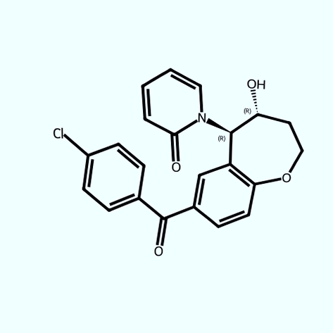 O=C(c1ccc(Cl)cc1)c1ccc2c(c1)[C@@H](n1ccccc1=O)[C@H](O)CCO2